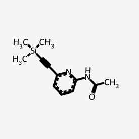 CC(=O)Nc1cccc(C#C[Si](C)(C)C)n1